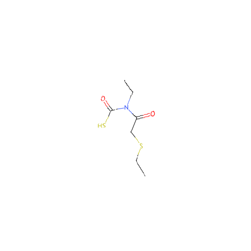 CCSCC(=O)N(CC)C(=O)S